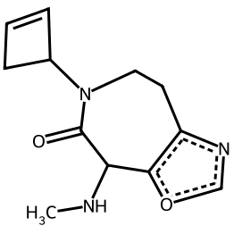 CNC1C(=O)N(C2C=CC2)CCc2ncoc21